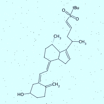 C=C1CCC(O)CC1=CC=C1CC[C@H](C)C2C(C(C)CC=CS(=O)(=O)C(C)(C)C)=CCC12